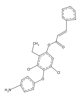 CCc1c(OC(=O)C=Cc2ccccc2)cc(Cl)c(Oc2ccc(N)cc2)c1Cl